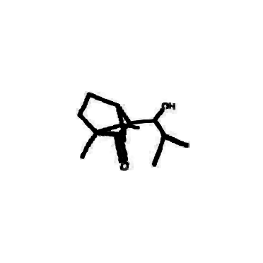 CC(C)C(O)C1C(=O)C2(C)CCC1C2(C)C